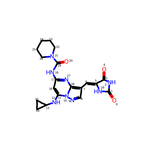 O=C1NC(=O)/C(=C/c2cnn3c(NC4CC4)cc(NC(=O)N4CCCCC4)nc23)N1